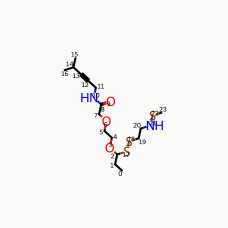 CCC(OCCOCC(=O)NCC#CC(C)C)SSCCNSC